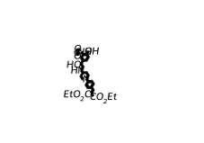 CCOC(=O)C(=Cc1ccc(N2CCC(NCC(O)c3ccc(O)c(NS(C)(=O)=O)c3)CC2)cc1)C(=O)OCC